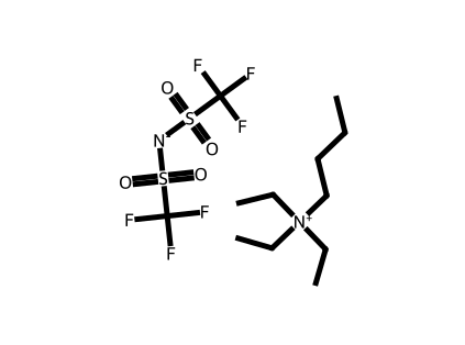 CCCC[N+](CC)(CC)CC.O=S(=O)([N-]S(=O)(=O)C(F)(F)F)C(F)(F)F